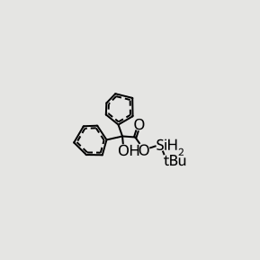 CC(C)(C)[SiH2]OC(=O)C(O)(c1ccccc1)c1ccccc1